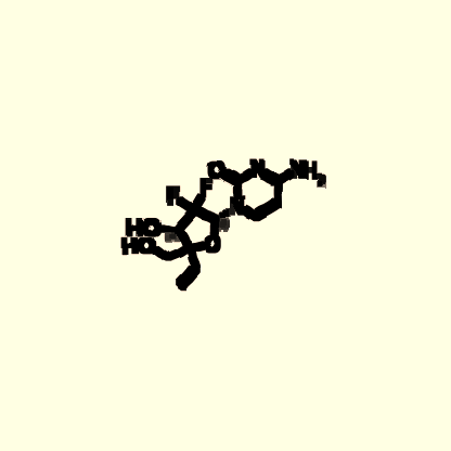 C=CC1(CO)O[C@@H](n2ccc(N)nc2=O)C(F)(F)[C@@H]1O